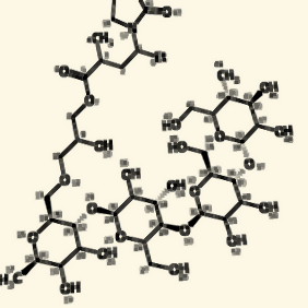 CCC(CC(C)C(=O)OCC(O)COC[C@@H]1O[C@H](C)C(O)C(O)[C@H]1O[C@@H]1OC(CO)[C@H](O[C@H]2O[C@@H](CO)[C@H](O[C@@H]3OC(CO)[C@H](C)[C@@H](O)C3O)C(O)C2O)[C@@H](O)C1O)N1CCCC1=O